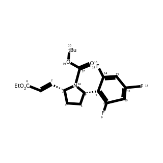 CCOC(=O)/C=C/[C@H]1CC[C@@H](c2c(F)cc(F)cc2F)N1C(=O)OC(C)(C)C